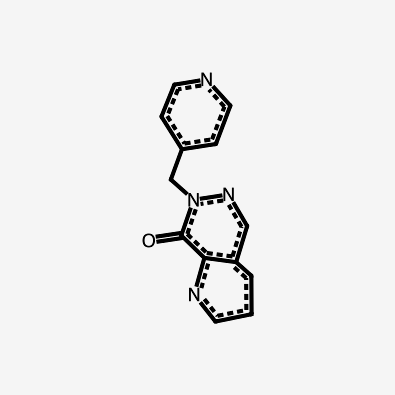 O=c1c2ncccc2cnn1Cc1ccncc1